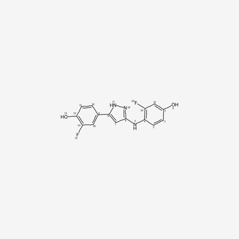 Oc1ccc(Nc2cc(-c3ccc(O)c(F)c3)[nH]n2)c(F)c1